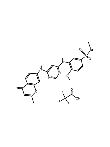 CNS(=O)(=O)c1ccc(SC)c(Nc2cc(Nc3ccc4c(=O)cc(C)oc4c3)ncn2)c1.O=C(O)C(F)(F)F